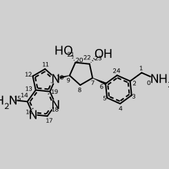 NCc1cccc([C@H]2C[C@@H](n3ccc4c(N)ncnc43)[C@H](O)[C@@H]2O)c1